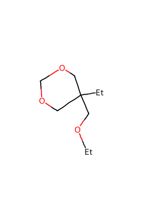 CCOCC1(CC)COCOC1